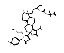 CCC(CCC1(C)C2CCC3C4=C(C(C)C)C(=O)CC4(c4cc(=O)n(C5=CCC(C)(Cl)C=C5)n4CCSC)CC[C@@]3(C)C2(C)CC[C@H]1C)OC(=O)CC(C)(C)C(=O)O